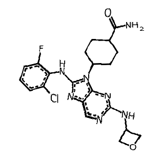 NC(=O)C1CCC(n2c(Nc3c(F)cccc3Cl)nc3cnc(NC4COC4)nc32)CC1